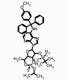 COc1ccc(C(Nc2ncnc3c2ncn3C2OC3C(C)OP(=S)(OC(C)C)OC3C2O[Si](C)(C)C(C)(C)C)(c2ccccc2)c2ccccc2)cc1